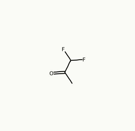 CC(=O)[C](F)F